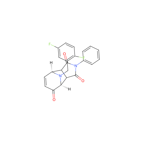 O=C1C=C[C@H]2C3C(=O)N(c4ccccc4)C(=O)C3[C@@H]1N2Cc1cc(F)ccc1F